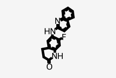 O=C1CCc2cc(Nc3ccc4ccccc4n3)c(F)cc2N1